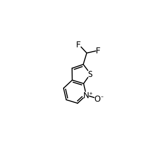 [O-][n+]1cccc2cc(C(F)F)sc21